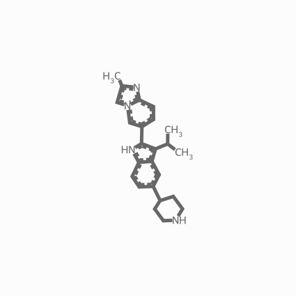 Cc1cn2cc(-c3[nH]c4ccc(C5CCNCC5)cc4c3C(C)C)ccc2n1